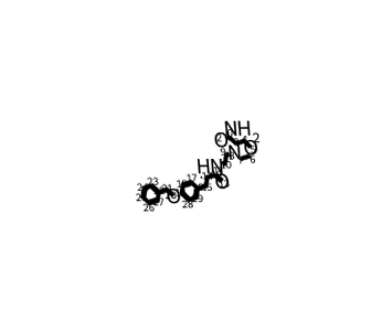 NC(=O)C1COCCN1CCNC(=O)[CH]Cc1ccc(OCc2ccccc2)cc1